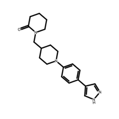 O=C1CCCCN1CC1CCN(c2ccc(-c3cn[nH]c3)cc2)CC1